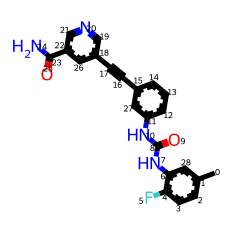 Cc1ccc(F)c(NC(=O)Nc2cccc(C#Cc3cncc(C(N)=O)c3)c2)c1